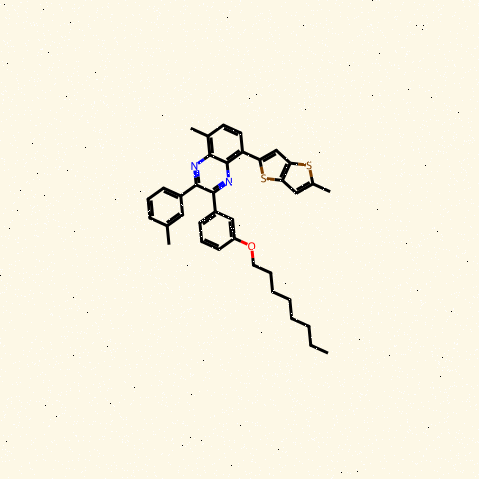 CCCCCCCCOc1cccc(-c2nc3c(-c4cc5sc(C)cc5s4)ccc(C)c3nc2-c2cccc(C)c2)c1